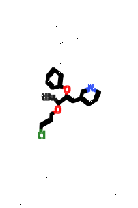 CC(C)(C)C(OCC=CCl)C(=Cc1cccnc1)Oc1ccccc1